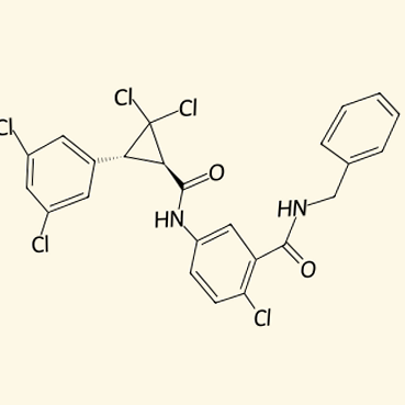 O=C(NCc1ccccc1)c1cc(NC(=O)[C@H]2[C@H](c3cc(Cl)cc(Cl)c3)C2(Cl)Cl)ccc1Cl